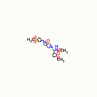 COC(=O)NC(CCN1CCC2(CC1)CCN(Cc1ccc(S(C)(=O)=O)cc1)C2=O)c1cccc(OC)c1